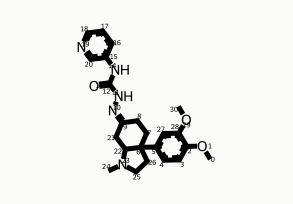 COc1ccc(C23CC/C(=N\NC(=O)Nc4cccnc4)CC2N(C)CC3)cc1OC